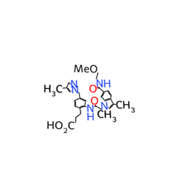 COCCNC(=O)c1ccc2c(C)cn(C(C)C(=O)Nc3cc(Cn4cc(C)cn4)ccc3CCCC(=O)O)c2c1